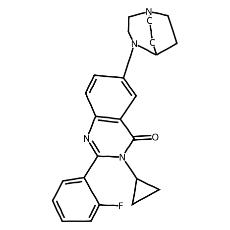 O=c1c2cc(N3CCN4CCC3CC4)ccc2nc(-c2ccccc2F)n1C1CC1